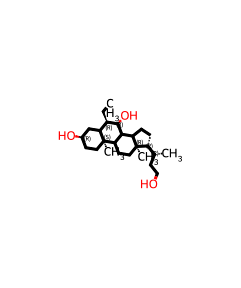 CC[C@@H]1C2C[C@H](O)CC[C@]2(C)C2CC[C@@]3(C)C(CC[C@@H]3[C@H](C)CCO)C2[C@@H]1O